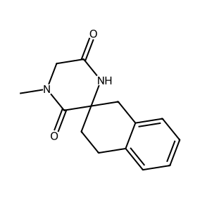 CN1CC(=O)NC2(CCc3ccccc3C2)C1=O